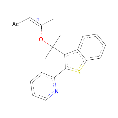 CC(=O)/C=C(/C)OC(C)(C)c1c(-c2ccccn2)sc2ccccc12